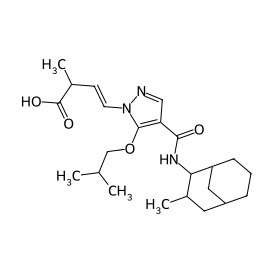 CC(C)COc1c(C(=O)NC2C(C)CC3CCCC2C3)cnn1/C=C/C(C)C(=O)O